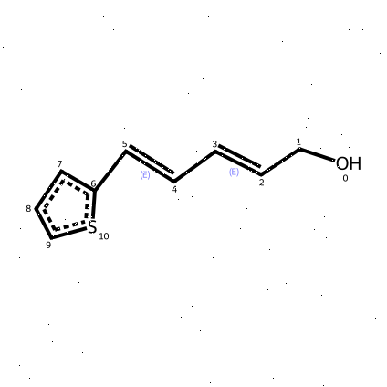 OC/C=C/C=C/c1cccs1